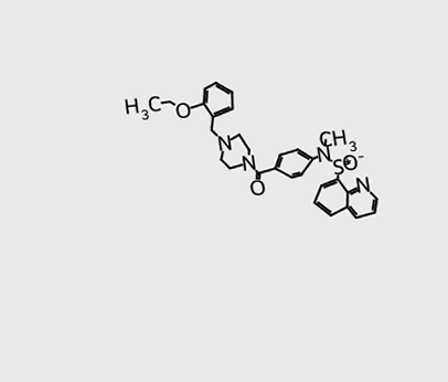 CCOc1ccccc1CN1CCN(C(=O)c2ccc(N(C)[S+]([O-])c3cccc4cccnc34)cc2)CC1